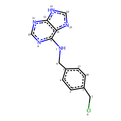 ClCc1ccc(CNc2ncnc3[nH]cnc23)cc1